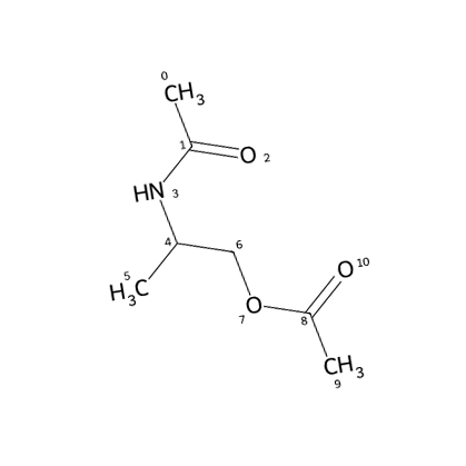 CC(=O)NC(C)COC(C)=O